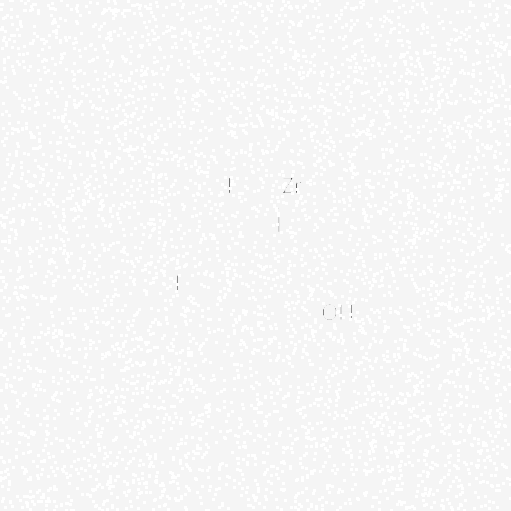 OC(I)CI.[Zr][I]